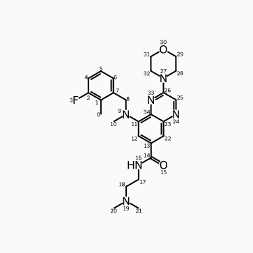 Cc1c(F)cccc1CN(C)c1cc(C(=O)NCCN(C)C)cc2ncc(N3CCOCC3)nc12